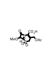 COC1C(=O)N2C(C(=O)O)=C(COC(C)=O)CS(=O)(=O)[C@@H]12